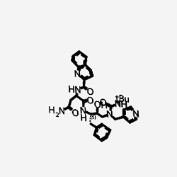 CC(C)(C)NC(=O)N(Cc1ccncc1)CC(O)[C@H](Cc1ccccc1)NC(=O)C(CC(N)=O)NC(=O)c1ccc2ccccc2n1